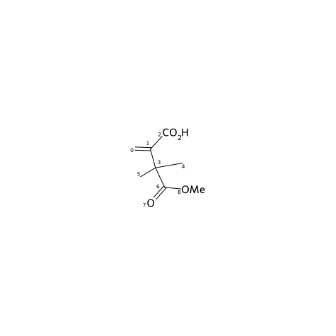 C=C(C(=O)O)C(C)(C)C(=O)OC